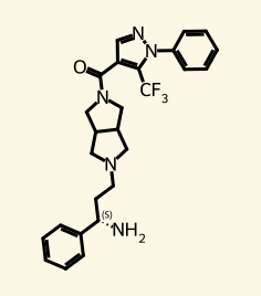 N[C@@H](CCN1CC2CN(C(=O)c3cnn(-c4ccccc4)c3C(F)(F)F)CC2C1)c1ccccc1